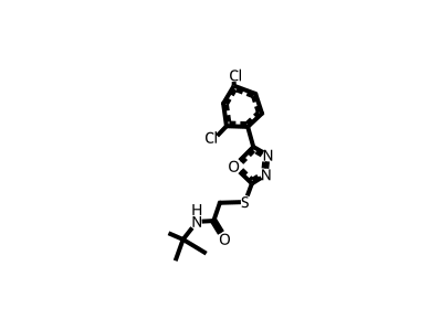 CC(C)(C)NC(=O)CSc1nnc(-c2ccc(Cl)cc2Cl)o1